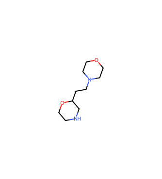 C1COC(CCN2CCOCC2)CN1